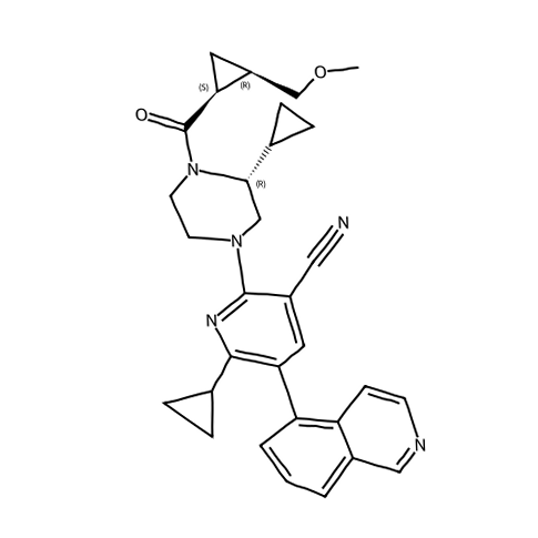 COC[C@@H]1C[C@@H]1C(=O)N1CCN(c2nc(C3CC3)c(-c3cccc4cnccc34)cc2C#N)C[C@H]1C1CC1